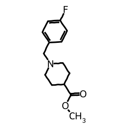 COC(=O)C1CCN(Cc2ccc(F)cc2)CC1